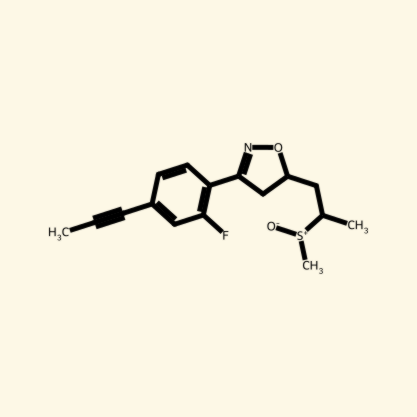 CC#Cc1ccc(C2=NOC(CC(C)[S+](C)[O-])C2)c(F)c1